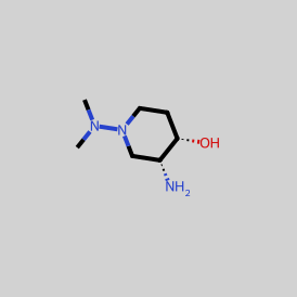 CN(C)N1CC[C@H](O)[C@H](N)C1